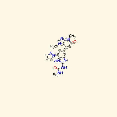 CCNC(=O)Nc1nc2cc(-c3cc(=O)n(C)c4ncn(C)c34)cc(N3CCC=N3)c2[nH]1